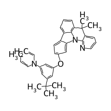 C=CN(/C=C\C)c1cc(Oc2ccc3c4cccc5c4n(c3c2)-c2ncccc2C5(C)C)cc(C(C)(C)C)c1